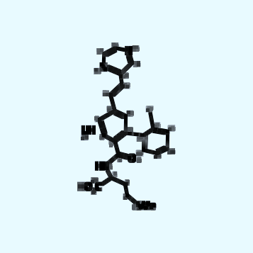 CSCCC(NC(=O)c1ccc(C=Cc2cnccn2)cc1-c1ccccc1C)C(=O)O.[LiH]